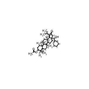 CC(=O)O[C@H]1CC[C@]2(C)C3CC[C@@H]4C5=C(C(C)C)C(=O)C[C@]5(C(O)C5SCCCS5)CC[C@@]4(C)[C@]3(C)CC[C@H]2C1(C)C